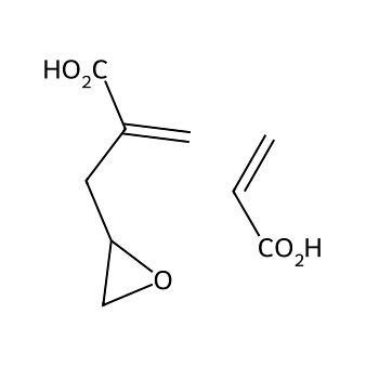 C=C(CC1CO1)C(=O)O.C=CC(=O)O